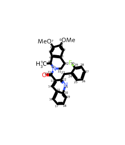 COc1cc2c(cc1OC)C(C)N(C(=O)c1cc3ccccc3nc1Cc1ccccc1F)CC2